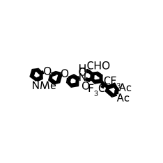 CNc1cccc(Oc2cccc(Oc3cccc(NC(=O)c4cc(C(c5ccc(C(C)=O)c(C(C)=O)c5)(C(F)(F)F)C(F)(F)F)ccc4C(=O)C=O)c3)c2)c1